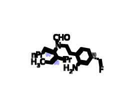 C/C=C(\C(=C/CCC)N(C=O)CCC1=CC[C@H](CF)C=C1N)C(C)C